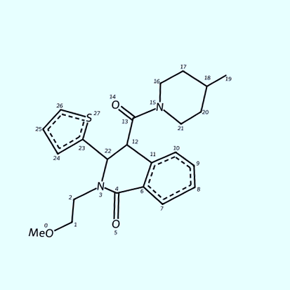 COCCN1C(=O)c2ccccc2C(C(=O)N2CCC(C)CC2)C1c1cccs1